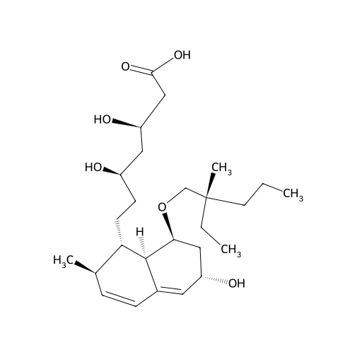 CCC[C@](C)(CC)CO[C@H]1C[C@H](O)C=C2C=C[C@@H](C)[C@H](CC[C@@H](O)C[C@@H](O)CC(=O)O)[C@H]21